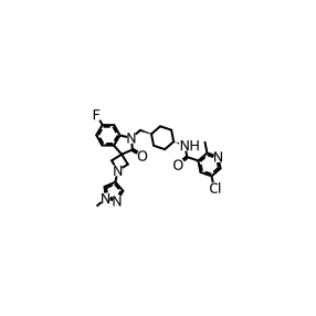 Cc1ncc(Cl)cc1C(=O)N[C@H]1CC[C@H](CN2C(=O)C3(CN(c4cnn(C)c4)C3)c3ccc(F)cc32)CC1